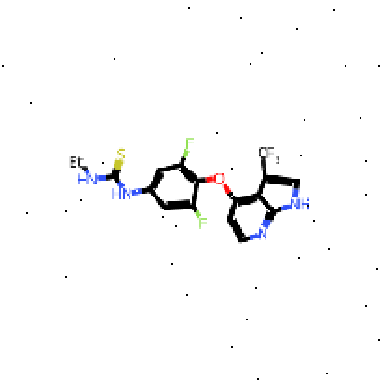 CCNC(=S)Nc1cc(F)c(Oc2ccnc3[nH]cc(C(F)(F)F)c23)c(F)c1